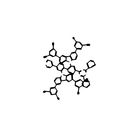 N#Cc1cc(C#N)cc(-c2ccc3c(c2)c2cc(-c4cc(C#N)cc(C#N)c4)ccc2n3-c2cc(-c3ccncc3)ccc2-c2ccc(-c3nc(-c4ccccc4)nc(-c4ccccc4)n3)cc2-n2c3ccc(-c4cc(C#N)cc(C#N)c4)cc3c3cc(-c4cc(C#N)cc(C#N)c4)ccc32)c1